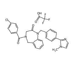 Cn1ccnc1-c1ccc(CN2C(=O)CN(C(=O)c3ccc(Cl)cc3)Cc3ccccc32)cc1.O=C(O)C(F)(F)F